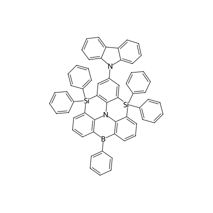 c1ccc(B2c3cccc4c3N3c5c2cccc5[Si](c2ccccc2)(c2ccccc2)c2cc(-n5c6ccccc6c6ccccc65)cc(c23)[Si]4(c2ccccc2)c2ccccc2)cc1